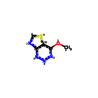 COc1nnnc2n[c]sc12